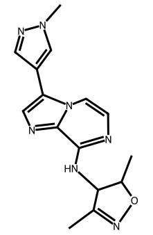 CC1=NOC(C)C1Nc1nccn2c(-c3cnn(C)c3)cnc12